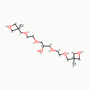 CCC1(COCCOCC(O)COCCOCC2(CC)COC2)COC1